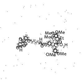 CC[C@H](C(=O)N1CCCC(C(Cc2cccc(OCC(=O)NCCCCCCOc3cccc4c3C(=O)N(C3CCC(=O)NC3=O)C4=O)c2)Cc2ccc(OC)c(OC)c2)[C@H]1C(=O)O)c1cc(OC)c(OC)c(OC)c1